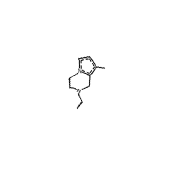 CCN1CCn2ccc(C)c2C1